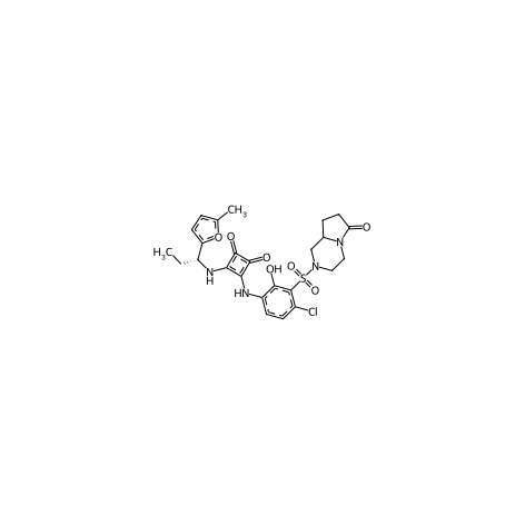 CC[C@@H](Nc1c(Nc2ccc(Cl)c(S(=O)(=O)N3CCN4C(=O)CCC4C3)c2O)c(=O)c1=O)c1ccc(C)o1